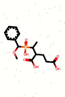 COC(c1ccccc1)P(=O)(O)C(C)C(CCC(=O)O)C(=O)O